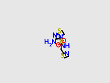 NC1N=C2SCCN2C1S(=O)(=O)NCC1=NCCS1